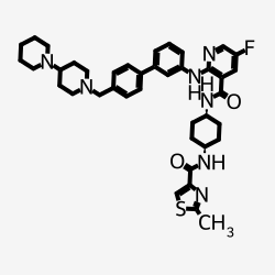 Cc1nc(C(=O)N[C@H]2CC[C@@H](NC(=O)c3cc(F)cnc3Nc3cccc(-c4ccc(CN5CCC(N6CCCCC6)CC5)cc4)c3)CC2)cs1